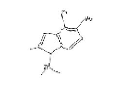 CC1=Cc2c(ccc(C(C)C)c2C(C)C)[CH]1[Zr]([CH3])[CH3]